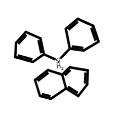 c1ccc([SiH2]c2ccccc2)cc1.c1ccc2ccccc2c1